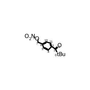 CC(C)(C)C(=O)c1ccc(CO[N+](=O)[O-])cc1